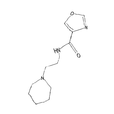 O=C(NCCN1CCCCC1)c1cocn1